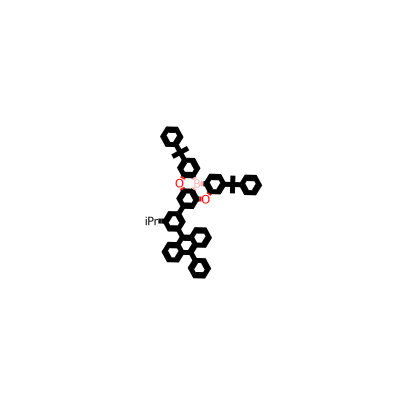 CC(C)c1cc(-c2cc3c4c(c2)Oc2cc(C(C)(C)c5ccccc5)ccc2B4c2ccc(C(C)(C)c4ccccc4)cc2O3)cc(-c2c3ccccc3c(-c3ccccc3)c3ccccc23)c1